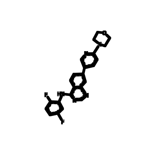 Fc1ccc(F)c(Nc2ncnc3cc(-c4ccc(N5CCOCC5)nc4)ccc23)c1